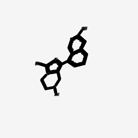 CCc1nc(-c2cccc3cc(O)ncc23)c2n1CCN(C(C)=O)C2